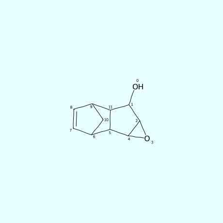 OC1C2OC2C2C3C=CC(C3)C12